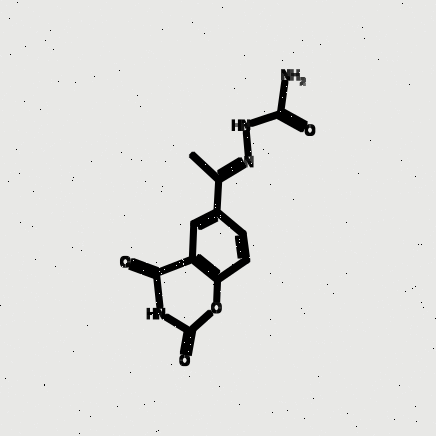 C/C(=N\NC(N)=O)c1ccc2oc(=O)[nH]c(=O)c2c1